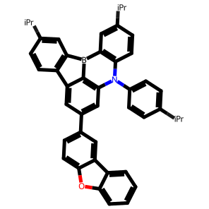 CC(C)c1ccc(N2c3ccc(C(C)C)cc3B3c4cc(C(C)C)ccc4-c4cc(-c5ccc6oc7ccccc7c6c5)cc2c43)cc1